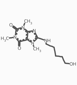 Cn1c(=O)c2c(nc(NCCCCCO)n2C)n(C)c1=O